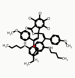 CCCCNc1cc(CC)ccc1C(=CC1(C=C(c2ccc(OC)cc2)c2ccc(CC)cc2NCCCC)OC(=O)c2c(Cl)c(Cl)c(Cl)c(Cl)c21)c1ccc(OC)cc1